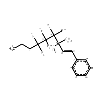 CCCC(F)(F)C(F)(F)C(F)(F)[Si](C)(C)C=Cc1ccccc1